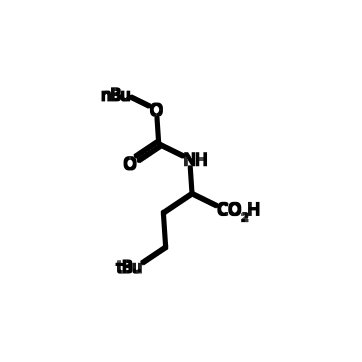 CCCCOC(=O)NC(CCC(C)(C)C)C(=O)O